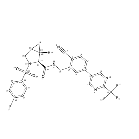 N#Cc1ccc(-c2cnc(C(F)(F)F)nc2)cc1CNC(=O)[C@@H]1[C@H]2CC2CN1S(=O)(=O)c1ccc(F)cc1